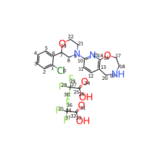 Clc1ccccc1C1CN(c2ccc3c(n2)OCCNC3)CCO1.O=C(O)C(F)(F)F.O=C(O)C(F)(F)F